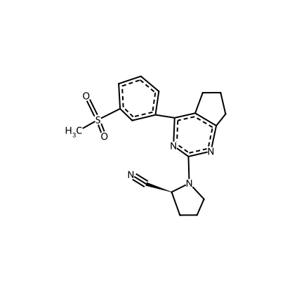 CS(=O)(=O)c1cccc(-c2nc(N3CCC[C@H]3C#N)nc3c2CCC3)c1